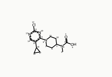 CN(C(=O)O)C1CCN(c2nc(Cl)ncc2C2CC2)CC1